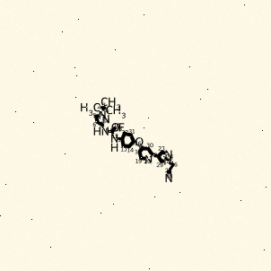 CC(C)(C)n1ccc(NC(=O)Nc2ccc(Oc3ccnc(-c4cnn(CC#N)c4)c3)cc2F)n1